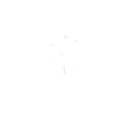 CC(C)C1c2[nH]cnc2CC(C(N)=O)N1C(=O)OCc1ccccc1